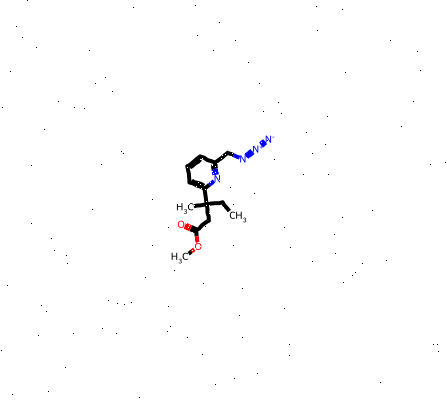 CCC(C)(CC(=O)OC)c1cccc(CN=[N+]=[N-])n1